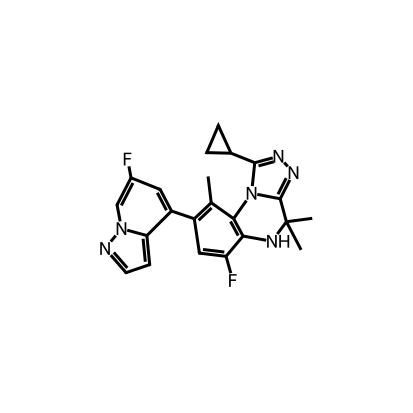 Cc1c(-c2cc(F)cn3nccc23)cc(F)c2c1-n1c(C3CC3)nnc1C(C)(C)N2